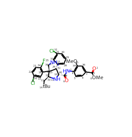 COC(=O)c1ccc(NC(=O)[C@@H]2N[C@@H](CC(C)(C)C)[C@](CN)(c3cc(Cl)ccc3F)[C@@H]2c2cccc(Cl)c2)c(OC)c1